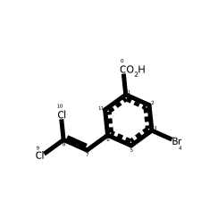 O=C(O)c1cc(Br)cc(C=C(Cl)Cl)c1